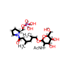 CC(=O)NC1C(OCC(C)CC(C)CC(=O)N2CCC[C@H]2COP(=O)(O)O)OC(CO)C(O)C1O